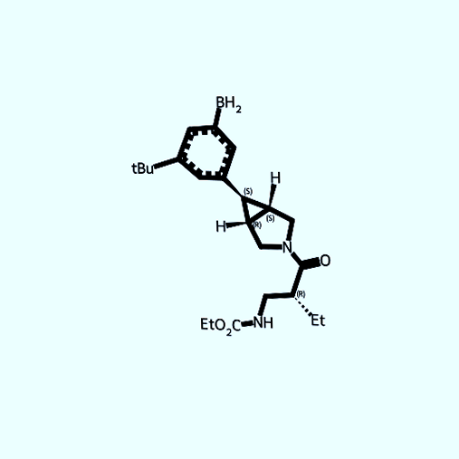 Bc1cc([C@H]2[C@@H]3CN(C(=O)[C@H](CC)CNC(=O)OCC)C[C@@H]32)cc(C(C)(C)C)c1